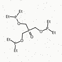 CCP(CC)OCP(=O)(COP(CC)CC)COP(CC)CC